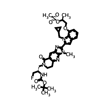 C[C@@H](COc1cccc2cc(-c3nc4cc5c(nc4n3C)CCN(C[C@@H](CF)NC(=O)OC(C)(C)C)C5=O)n(CC3CC3)c12)OS(C)(=O)=O